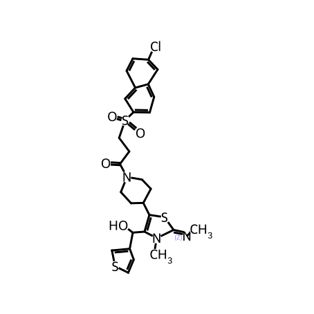 C/N=c1\sc(C2CCN(C(=O)CCS(=O)(=O)c3ccc4cc(Cl)ccc4c3)CC2)c(C(O)c2ccsc2)n1C